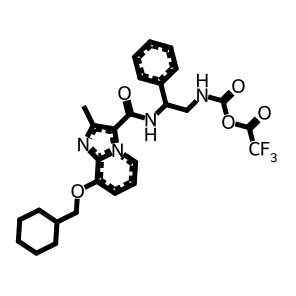 Cc1nc2c(OCC3CCCCC3)cccn2c1C(=O)NC(CNC(=O)OC(=O)C(F)(F)F)c1ccccc1